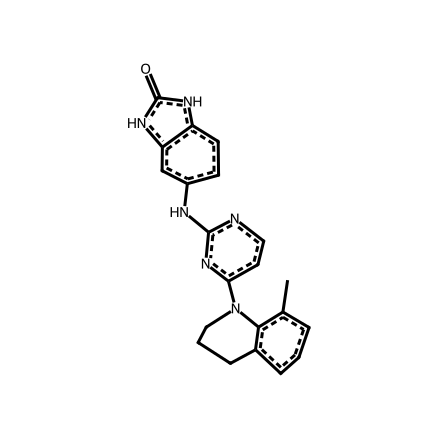 Cc1cccc2c1N(c1ccnc(Nc3ccc4[nH]c(=O)[nH]c4c3)n1)CCC2